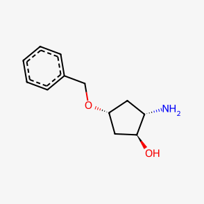 N[C@H]1C[C@@H](OCc2ccccc2)C[C@@H]1O